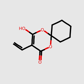 C=CC1=C(O)OC2(CCCCC2)OC1=O